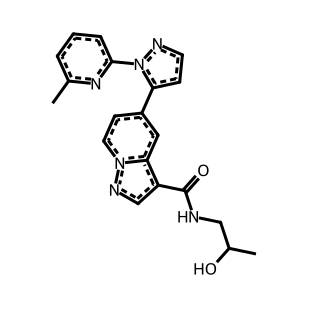 Cc1cccc(-n2nccc2-c2ccn3ncc(C(=O)NCC(C)O)c3c2)n1